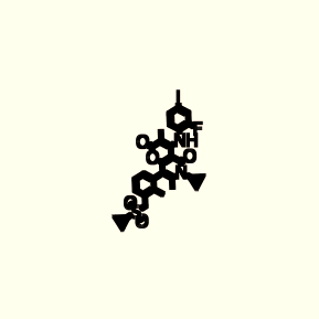 Cc1c(CS(=O)(=O)C2CC2)cccc1-c1c(C)n(C2CC2)c(=O)c2c(Nc3ccc(I)cc3F)c(C)c(=O)oc12